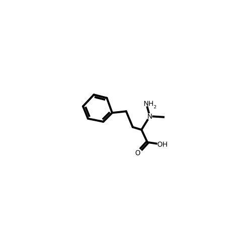 CN(N)C(CCc1ccccc1)C(=O)O